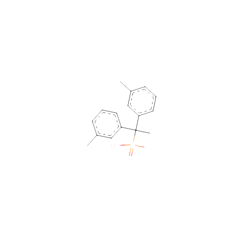 Cc1cccc(C(C)(c2cccc(C)c2)P(=O)(O)O)c1